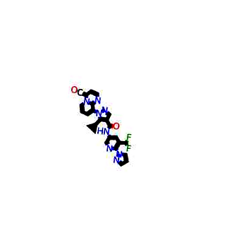 O=C=C1C=CN=C2C(n3ncc(C(=O)Nc4cnc(-n5cccn5)c(C(F)F)c4)c3C3CC3)=CC=CN12